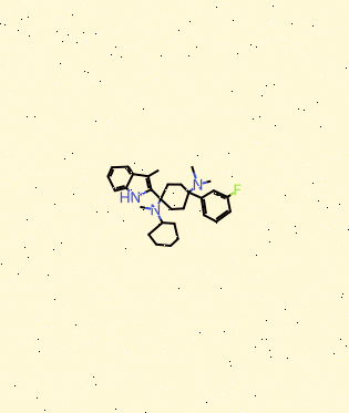 Cc1c(C2(N(C)C3CCCCC3)CCC(c3cccc(F)c3)(N(C)C)CC2)[nH]c2ccccc12